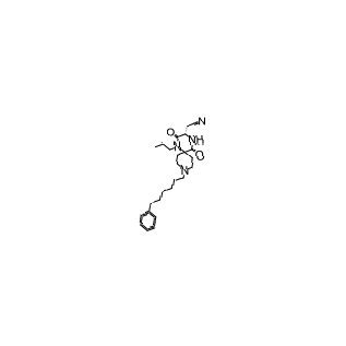 CCCN1C(=O)[C@H](CC#N)NC(=O)C12CCN(CCCCCCc1ccccc1)CC2